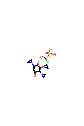 CCCl.O=C1C=C(N2CC2)C(=O)C(N2CC2)=C1N1CC1.O=P(O)(O)O